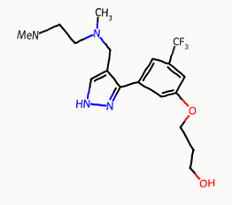 CNCCN(C)Cc1c[nH]nc1-c1cc(OCCCO)cc(C(F)(F)F)c1